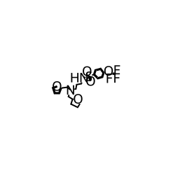 O=S(=O)(NCCCN(Cc1ccco1)CC1CCCO1)c1ccc(OC(F)(F)F)cc1